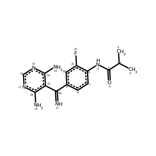 CC(C)C(=O)Nc1ccc(C(=N)c2c(N)ncnc2N)cc1F